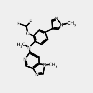 CN(c1cc2c(cn1)ncn2C)c1ccc(-c2cnn(C)c2)cc1OC(F)F